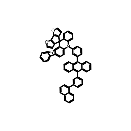 c1cc(-c2cccc3ccccc23)cc(-c2c3ccccc3c(-c3cccc(N4c5ccccc5C5(c6ccoc6-c6occc65)c5c4ccc4c5sc5ccccc54)c3)c3ccccc23)c1